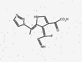 C/C(=c1/[nH]cc(C(=O)C(=O)O)/c1=C(\F)C=N)n1ccnn1